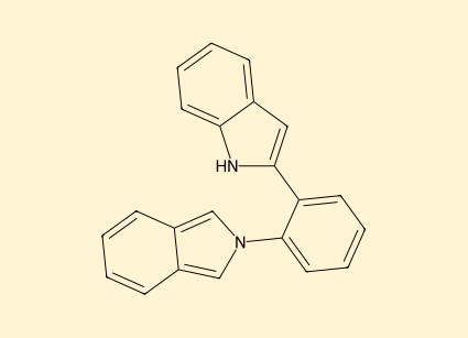 c1ccc(-n2cc3ccccc3c2)c(-c2cc3ccccc3[nH]2)c1